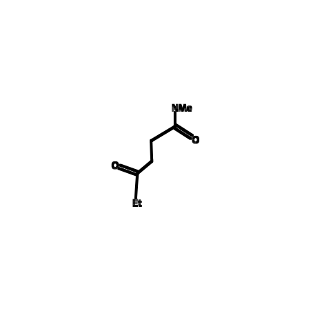 CCC(=O)CCC(=O)NC